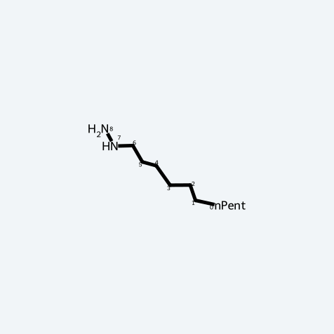 CCCCCCCCCCCNN